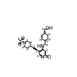 CS(=O)(=O)N1CCC(C#Cc2cnc(Cl)cc2NCC2CCC(CO)CC2)CC1